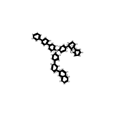 c1ccc(-c2ccc(-c3ccc(N(c4ccc(-c5cccc(-c6ccc7ccccc7c6)c5)cc4)c4ccc(-c5cccc6c5oc5ccccc56)cc4)cc3)cc2)cc1